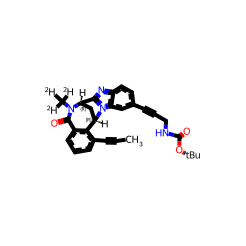 [2H]C([2H])([2H])N1C(=O)c2cccc(C#CC)c2[C@H]2C[C@@H]1c1nc3ccc(C#CCNC(=O)OC(C)(C)C)cc3n12